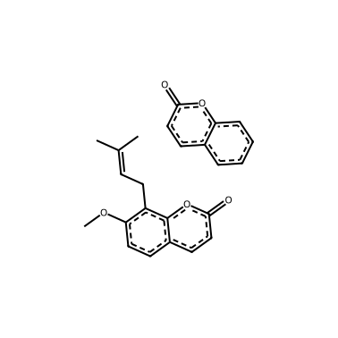 COc1ccc2ccc(=O)oc2c1CC=C(C)C.O=c1ccc2ccccc2o1